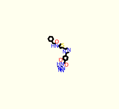 COc1cc(-c2cncc(-c3cc(NC(=O)CC4CCCCC4)cs3)n2)ccc1C(=O)Nc1nnnn1C